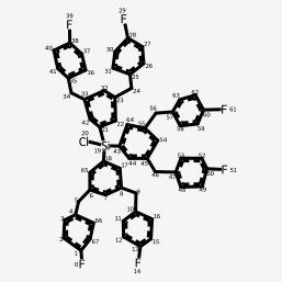 Fc1ccc(Cc2cc(Cc3ccc(F)cc3)cc([Si](Cl)(c3cc(Cc4ccc(F)cc4)cc(Cc4ccc(F)cc4)c3)c3cc(Cc4ccc(F)cc4)cc(Cc4ccc(F)cc4)c3)c2)cc1